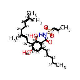 C/C=C/S(=O)(=O)NC(=O)c1c(CCCCC)cc(O)c(C/C=C(\C)CCC=C(C)C)c1O